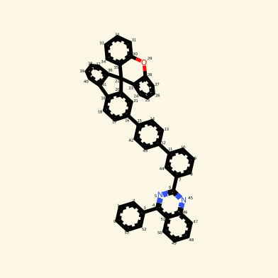 c1ccc(-c2nc(-c3cccc(-c4ccc(-c5ccc6c(c5)C5(c7ccccc7Oc7ccccc75)c5ccccc5-6)cc4)c3)nc3ccccc23)cc1